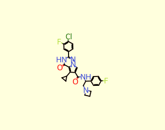 O=C(NC(CN1CCC1)c1ccc(F)cc1)c1cn2nc(-c3ccc(Cl)c(F)c3)[nH]c(=O)c2c1C1CC1